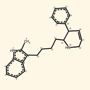 Cc1[nH]c2ccccc2c1CCCCC1NCC=CC1c1ccccc1